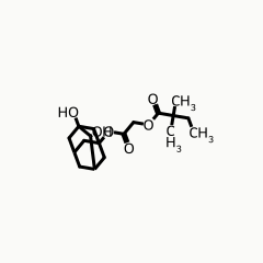 CCC(C)(C)C(=O)OCC(=O)OC12CC3CC(C1)C(O)C(O)(C3)C2